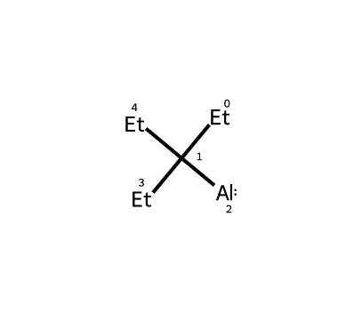 CC[C]([Al])(CC)CC